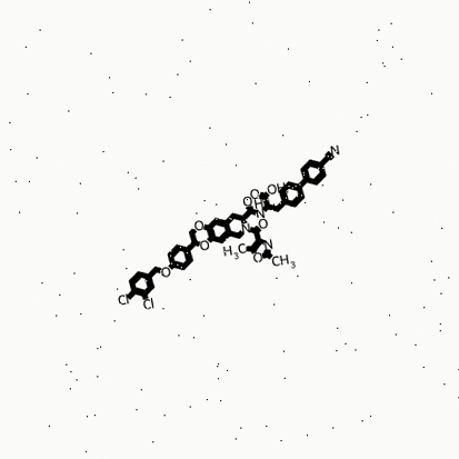 Cc1nc(C(=O)N2Cc3cc4c(cc3CC2C(=O)NC(Cc2ccc(-c3ccc(C#N)cc3)cc2)C(=O)O)OCC(c2ccc(OCc3ccc(Cl)c(Cl)c3)cc2)O4)c(C)o1